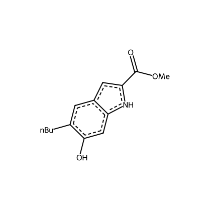 CCCCc1cc2cc(C(=O)OC)[nH]c2cc1O